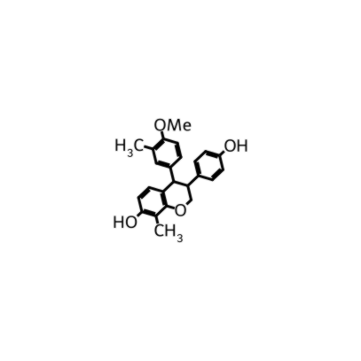 COc1ccc(C2c3ccc(O)c(C)c3OCC2c2ccc(O)cc2)cc1C